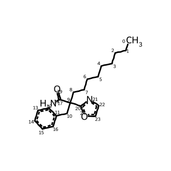 CCCCCCCCCC(Cc1ccccc1)(C(N)=O)c1ncco1